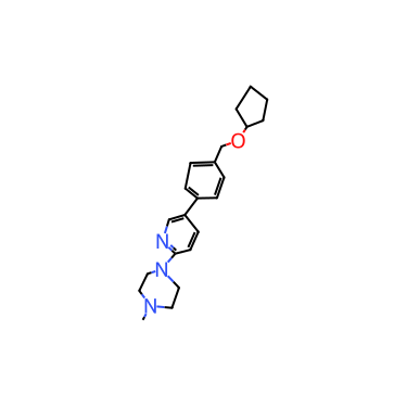 CN1CCN(c2ccc(-c3ccc(COC4CCCC4)cc3)cn2)CC1